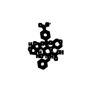 O=C(O)N[C@@H](Cc1ccccc1)[C@@H](O)C([C@@H]1CO[C@H]2OCC[C@H]21)N(OC1CCOCC1)S(=O)(=O)c1ccc([N+](=O)[O-])cc1